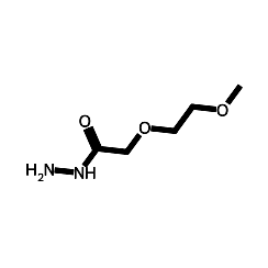 COCCOCC(=O)NN